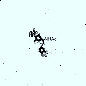 CC(=O)N[C@@H](COc1ccc(C(C)(C)C)c(O)c1)c1ccc(NS(C)(=O)=O)c(C)c1